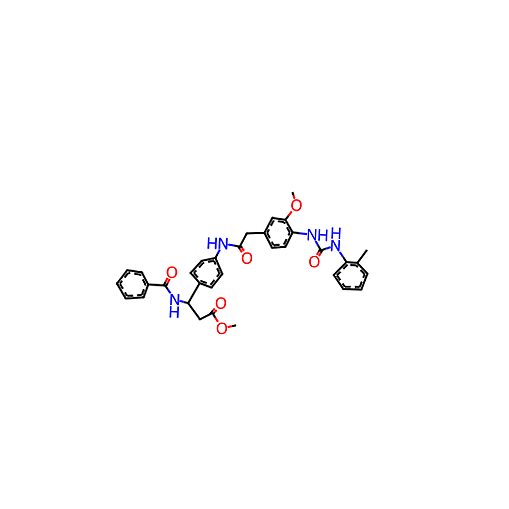 COC(=O)CC(NC(=O)c1ccccc1)c1ccc(NC(=O)Cc2ccc(NC(=O)Nc3ccccc3C)c(OC)c2)cc1